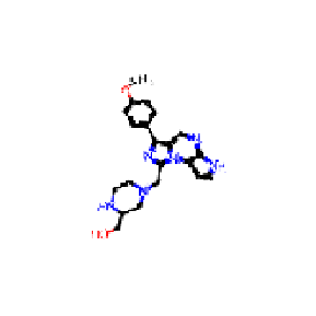 COc1ccc(-c2nc(CN3CCNC(CO)C3)n3c2cnc2[nH]ccc23)cc1